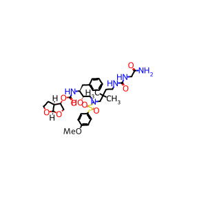 COc1ccc(S(=O)(=O)N(C[C@H](O)[C@H](Cc2ccccc2)NC(=O)O[C@H]2CO[C@H]3OCC[C@H]32)CC(C)(C)CCNC(=O)NCC(N)=O)cc1